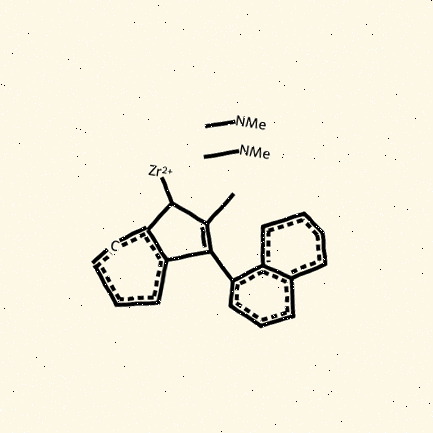 CC1=C(c2cccc3ccccc23)c2ccccc2[CH]1[Zr+2].C[N-]C.C[N-]C